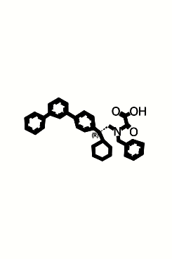 O=C(O)C(=O)N(Cc1ccccc1)C[C@@H](c1ccc(-c2cccc(-c3ccccc3)c2)cc1)C1CCCCC1